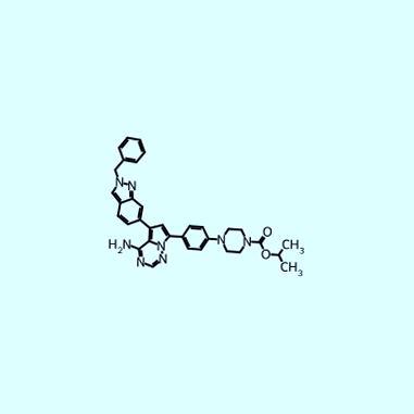 CC(C)OC(=O)N1CCN(c2ccc(-c3cc(-c4ccc5cn(Cc6ccccc6)nc5c4)c4c(N)ncnn34)cc2)CC1